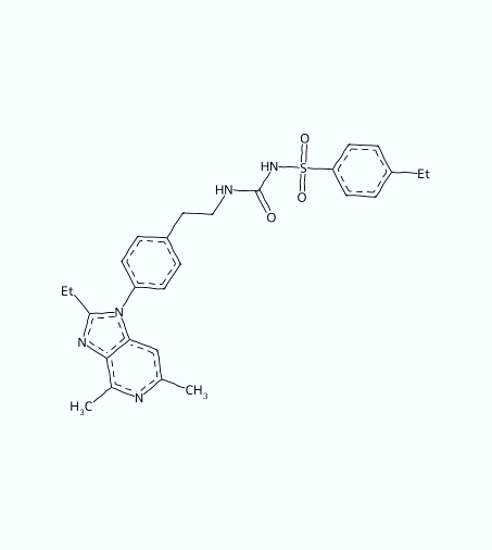 CCc1ccc(S(=O)(=O)NC(=O)NCCc2ccc(-n3c(CC)nc4c(C)nc(C)cc43)cc2)cc1